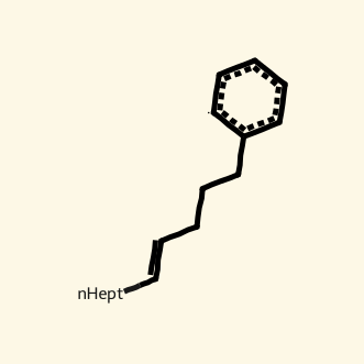 CCCCCCCC=CCCCc1[c]cccc1